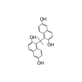 CC(C)(c1c(O)ccc2cc(O)ccc12)c1c(O)ccc2cc(O)ccc12